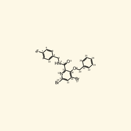 O=C(NCc1ccc(F)cc1)c1nc(Br)cc(Br)c1OCc1ccccc1